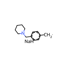 [CH2]c1ccc(CN2CCCCC2)cc1.[NaH]